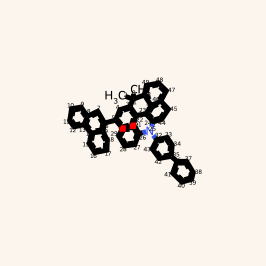 CC1(C)c2cc(-c3cc4ccccc4c4ccccc34)ccc2-c2c(N(c3ccccc3)c3ccc(-c4ccccc4)cc3)ccc3cccc1c23